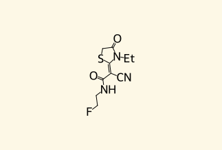 CCN1C(=O)CS/C1=C(/C#N)C(=O)NCCF